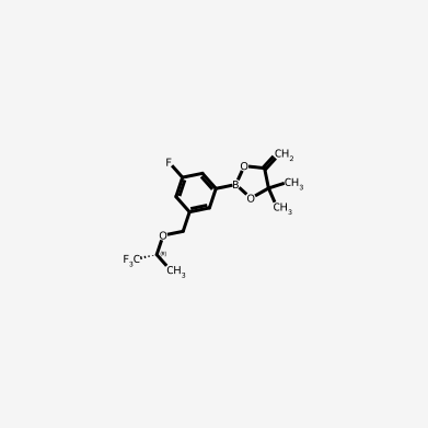 C=C1OB(c2cc(F)cc(CO[C@H](C)C(F)(F)F)c2)OC1(C)C